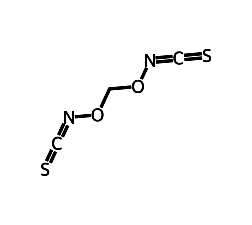 S=C=NOCON=C=S